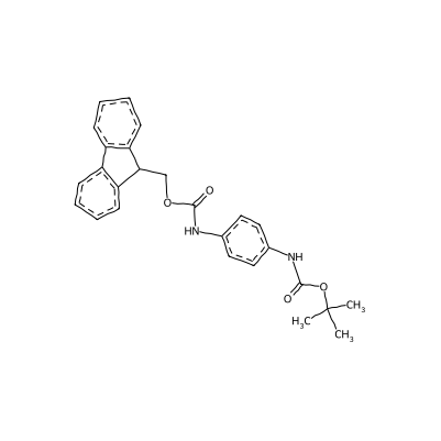 CC(C)(C)OC(=O)Nc1ccc(NC(=O)OCC2c3ccccc3-c3ccccc32)cc1